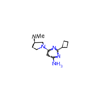 CN[C@@H]1CCN(c2cc(N)nc(C3CCC3)n2)C1